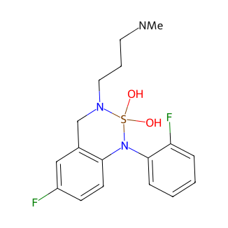 CNCCCN1Cc2cc(F)ccc2N(c2ccccc2F)S1(O)O